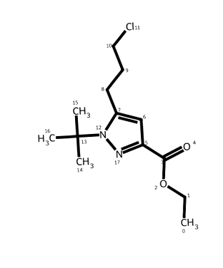 CCOC(=O)c1cc(CCCCl)n(C(C)(C)C)n1